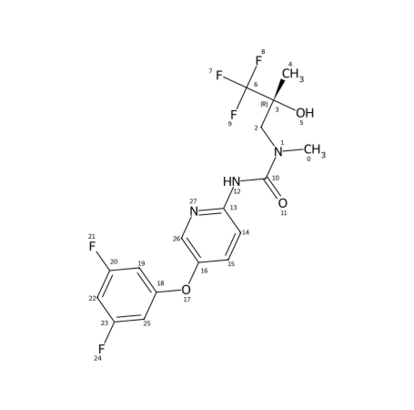 CN(C[C@@](C)(O)C(F)(F)F)C(=O)Nc1ccc(Oc2cc(F)cc(F)c2)cn1